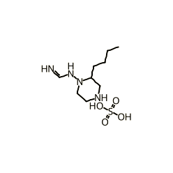 CCCCC1CNCCN1NC=N.O=S(=O)(O)O